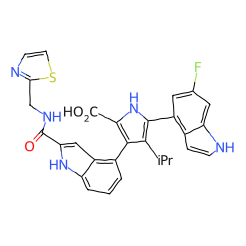 CC(C)c1c(-c2cc(F)cc3[nH]ccc23)[nH]c(C(=O)O)c1-c1cccc2[nH]c(C(=O)NCc3nccs3)cc12